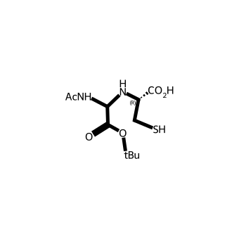 CC(=O)NC(N[C@@H](CS)C(=O)O)C(=O)OC(C)(C)C